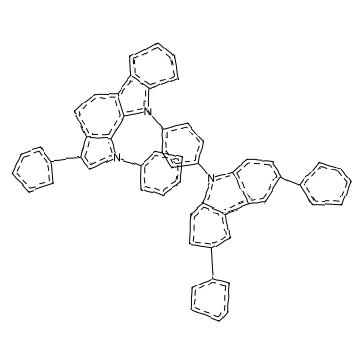 c1ccc(-c2ccc3c(c2)c2cc(-c4ccccc4)ccc2n3-c2ccc(-n3c4ccccc4c4ccc5c(-c6ccccc6)cn(-c6ccccc6)c5c43)cc2)cc1